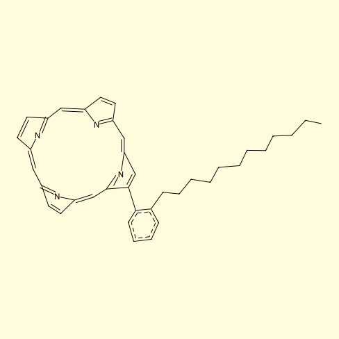 CCCCCCCCCCCCc1ccccc1C1=CC2=CC3=NC(=CC4=NC(=CC5=NC(=CC1=N2)C=C5)C=C4)C=C3